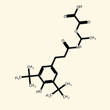 CC(NC(=O)CCc1cc(C(C)(C)C)c(O)c(C(C)(C)C)c1)OC(=O)C(=O)O